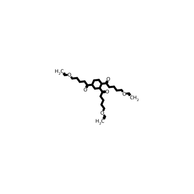 C=COCCCCC(=O)C1CCC(C(=O)CCCCOC=C)C(C(=O)CCCCOC=C)C1